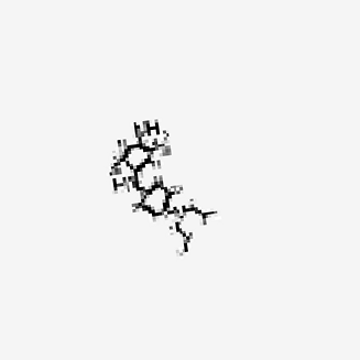 CCCN(CCC)c1ccc(Nc2cc(C)c(N)cc2C)cc1